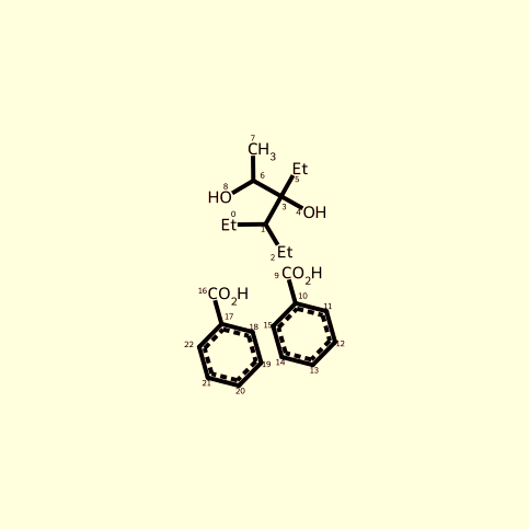 CCC(CC)C(O)(CC)C(C)O.O=C(O)c1ccccc1.O=C(O)c1ccccc1